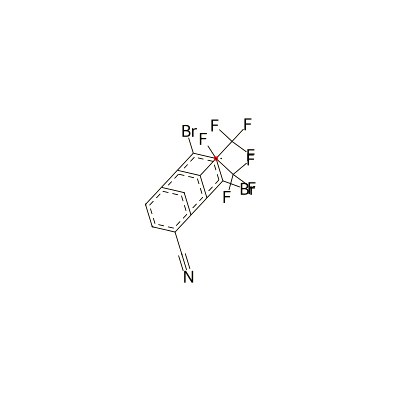 N#Cc1ccc2cc1c1c(Br)[c]c(Br)c2c1C(F)(C(F)(F)F)C(F)(F)F